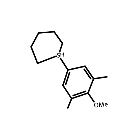 COc1c(C)cc([SH]2CCCCC2)cc1C